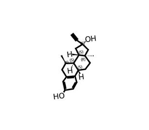 C#C[C@]1(O)C[C@H]2[C@@H]3[C@H](C)Cc4cc(O)ccc4[C@H]3CC[C@]2(C)C1